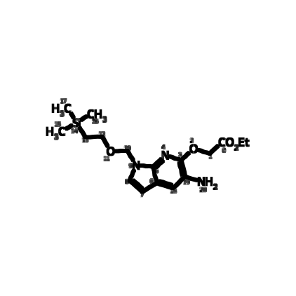 CCOC(=O)COc1nc2c(ccn2COCC[Si](C)(C)C)cc1N